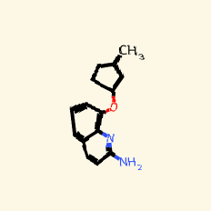 CC1CCC(Oc2cccc3ccc(N)nc23)C1